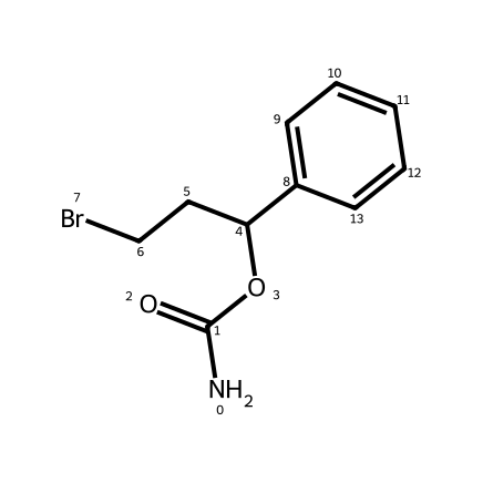 NC(=O)OC(CCBr)c1ccccc1